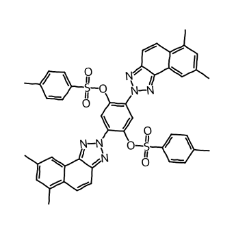 Cc1ccc(S(=O)(=O)Oc2cc(-n3nc4ccc5c(C)cc(C)cc5c4n3)c(OS(=O)(=O)c3ccc(C)cc3)cc2-n2nc3ccc4c(C)cc(C)cc4c3n2)cc1